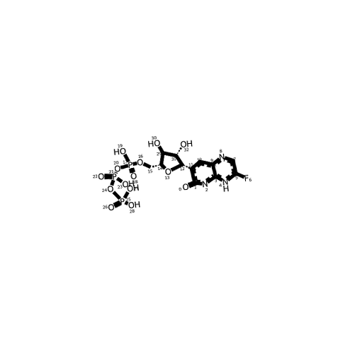 O=c1nc2[nH]c(F)cnc-2cc1[C@@H]1O[C@H](COP(=O)(O)OP(=O)(O)OP(=O)(O)O)C(O)[C@@H]1O